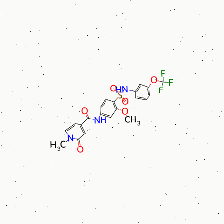 COc1cc(NC(=O)c2ccn(C)c(=O)c2)ccc1S(=O)(=O)Nc1cccc(OC(F)(F)F)c1